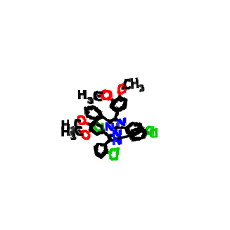 COc1ccc(C2=NC(c3ccc(Cl)cc3)(n3c(-c4ccc(Cl)cc4)nc(-c4ccccc4Cl)c3-c3ccc(OC)c(OC)c3)N=C2c2ccccc2Cl)cc1OC